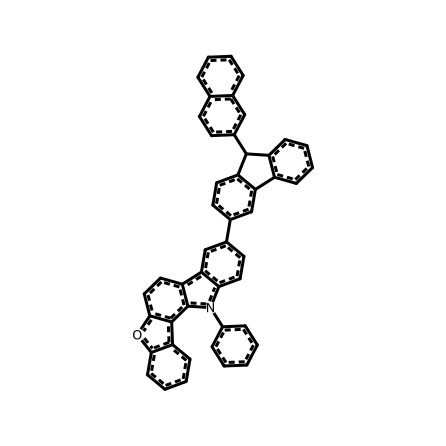 c1ccc(-n2c3ccc(-c4ccc5c(c4)-c4ccccc4C5c4ccc5ccccc5c4)cc3c3ccc4oc5ccccc5c4c32)cc1